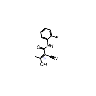 C/C(O)=C(/C#N)C(=O)Nc1ccccc1F